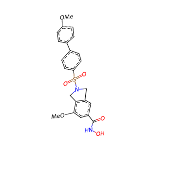 COc1ccc(-c2ccc(S(=O)(=O)N3Cc4cc(C(=O)NO)cc(OC)c4C3)cc2)cc1